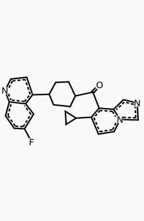 O=C(c1c(C2CC2)ccn2cncc12)C1CCC(c2ccnc3ccc(F)cc23)CC1